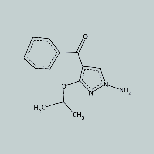 CC(C)Oc1nn(N)cc1C(=O)c1ccccc1